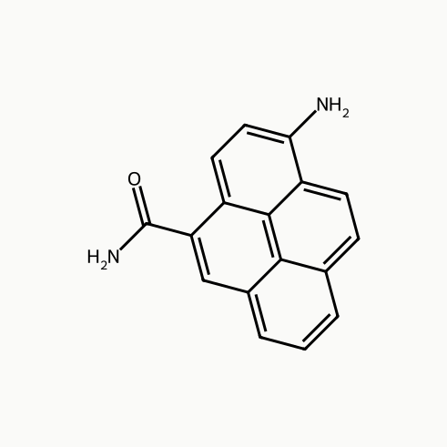 NC(=O)c1cc2cccc3ccc4c(N)ccc1c4c32